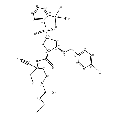 CCOC(=O)N1CCC(C#N)(NC(=O)[C@H]2C[C@H](S(=O)(=O)c3ccccc3C(F)(F)F)C[C@H]2OCc2ccc(Cl)cc2)CC1